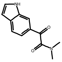 CN(C)C(=O)C(=O)c1ccc2cc[nH]c2c1